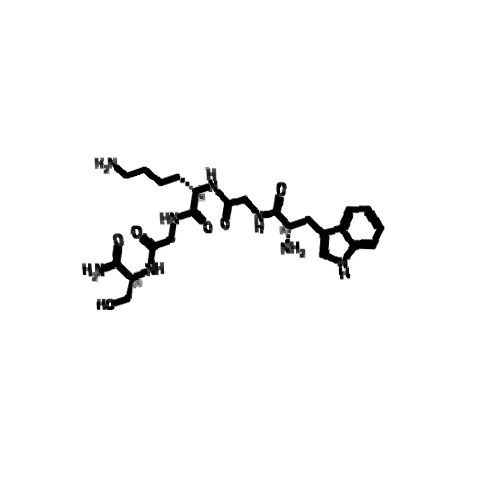 NCCCC[C@H](NC(=O)CNC(=O)[C@@H](N)Cc1c[nH]c2ccccc12)C(=O)NCC(=O)N[C@@H](CO)C(N)=O